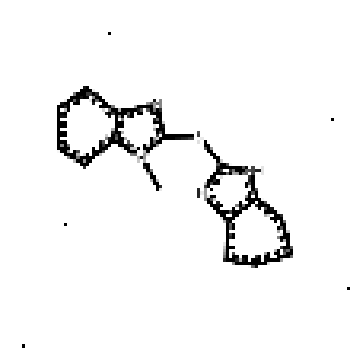 Cn1c(Sc2nc3ccccc3[nH]2)nc2ccccc21